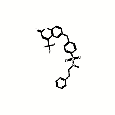 CN(CCc1ccccc1)S(=O)(=O)c1ccc(Cc2ccc3oc(=O)cc(C(F)(F)F)c3c2)cc1